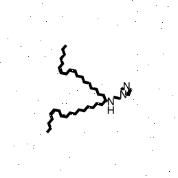 CCCC/C=C\C/C=C\CCCCCCCCC(CCCCCCCC/C=C\C/C=C\CCCCC)NCCn1ccnc1